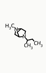 CCC(C)N1CC2CC1CN2C